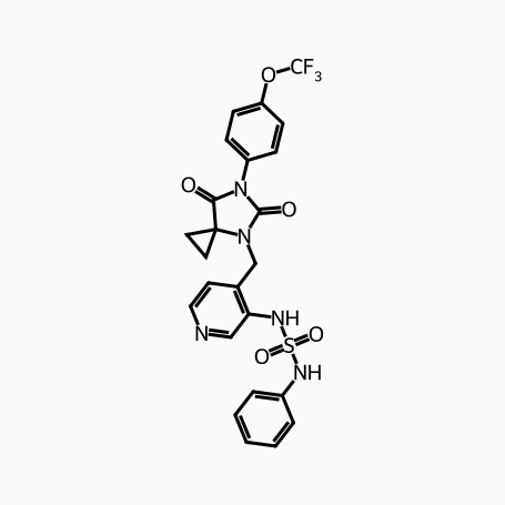 O=C1N(c2ccc(OC(F)(F)F)cc2)C(=O)C2(CC2)N1Cc1ccncc1NS(=O)(=O)Nc1ccccc1